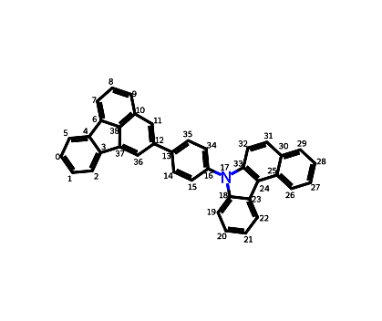 c1ccc2c(c1)-c1cccc3cc(-c4ccc(-n5c6ccccc6c6c7ccccc7ccc65)cc4)cc-2c13